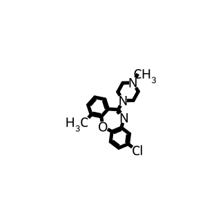 Cc1cccc2c1Oc1ccc(Cl)cc1N=C2N1CCN(C)CC1